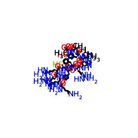 CC[C@H](C)[C@H](NC(=O)[C@H](Cc1c[nH]cn1)NC(=O)[C@H](CCCNC(=N)N)NC(=O)[C@H](Cc1ccccc1)NC(=O)[C@H](Cc1ccccc1)NC(=O)[C@H](CS)NC(=O)[C@H](CCCNC(=N)N)NC(=O)[C@H](CCCNC(=N)N)NC(=O)[C@H](CCCCN)NC(=O)[C@@H](N)CCCCN)C(=O)N[C@@H](Cc1ccc(O)cc1)C(=O)N[C@H](C(=O)N[C@@H](C)C(=O)O)C(C)C